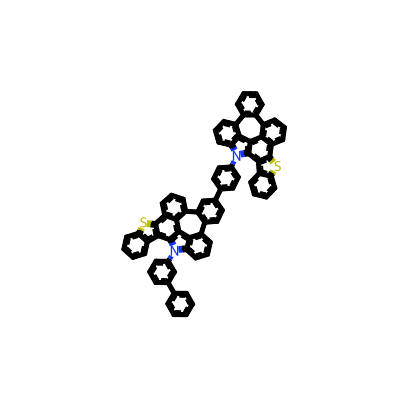 c1ccc(-c2cccc(-n3c4cccc5c4c4c6c(cccc6c6sc7ccccc7c6c43)-c3cc(-c4ccc(-n6c7cccc8c7c7c9c(cccc9c9sc%10ccccc%10c9c76)-c6ccccc6-8)cc4)ccc3-5)c2)cc1